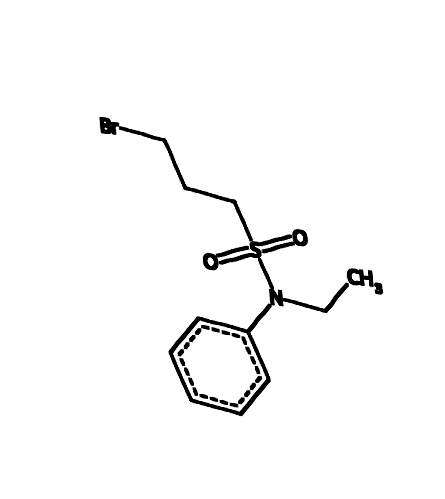 CCN(c1ccccc1)S(=O)(=O)CCCBr